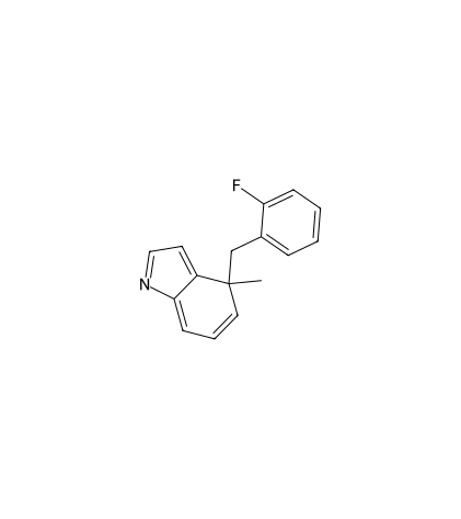 CC1(Cc2ccccc2F)C=CC=C2N=CC=C21